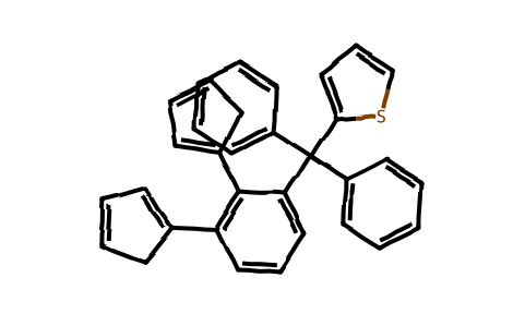 C1=CCC(c2cccc(C(c3ccccc3)(c3ccccc3)c3cccs3)c2C2=CC=CC2)=C1